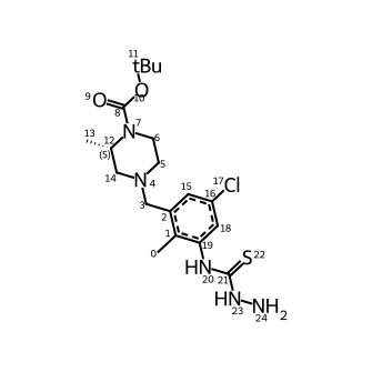 Cc1c(CN2CCN(C(=O)OC(C)(C)C)[C@@H](C)C2)cc(Cl)cc1NC(=S)NN